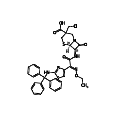 CCON=C(C(=O)N[C@@H]1C(=O)N2CC(CCl)(C(=O)O)CS[C@H]12)c1csc(NC(c2ccccc2)(c2ccccc2)c2ccccc2)n1